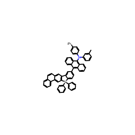 Cc1cccc(N(c2ccc(C(C)C)cc2)c2c3ccccc3c(-c3ccc4c(c3)-c3cc5ccc6ccccc6c5cc3[Si]4(c3ccccc3)c3ccccc3)c3ccccc23)c1